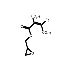 CCC(C(=O)O)=C(C(=O)O)C(=O)OCC1CO1